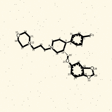 Fc1ccc([C@@H]2CCN(CCCN3CCOCC3)C[C@H]2COc2ccc3c(c2)OCO3)cc1